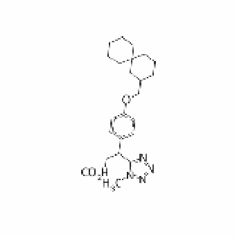 Cn1nnnc1C(CC(=O)O)c1ccc(OCC2CCCC3(CCCCC3)C2)cc1